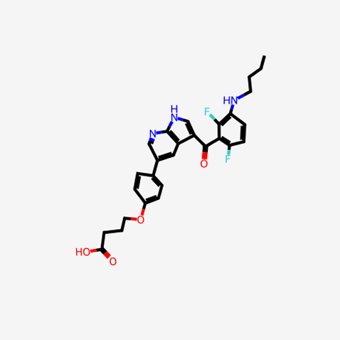 CCCCNc1ccc(F)c(C(=O)c2c[nH]c3ncc(-c4ccc(OCCCC(=O)O)cc4)cc23)c1F